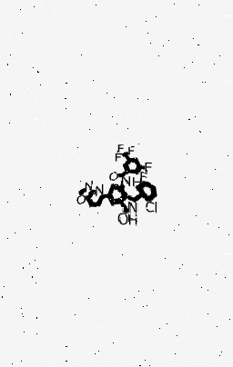 O=C(Nc1cc(-c2ccc3ocnc3n2)cc2c1C(c1cc(F)ccc1Cl)NC2=O)c1cc(F)cc(C(F)(F)F)c1